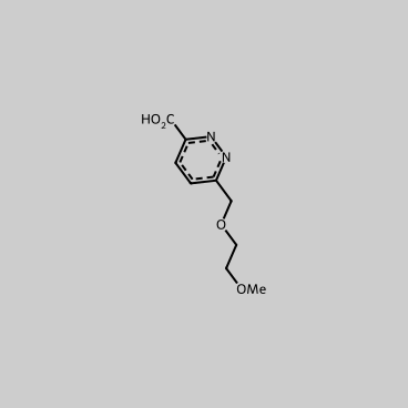 COCCOCc1ccc(C(=O)O)nn1